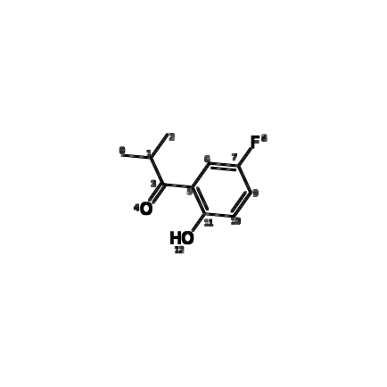 CC(C)C(=O)c1cc(F)ccc1O